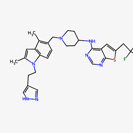 Cc1c(CN2CCC(Nc3ncnc4sc(CC(F)(F)F)cc34)CC2)ccc2c1cc(C)n2CCc1cn[nH]c1